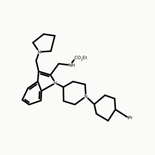 CCOC(=O)NCc1c(CN2CCCC2)c2ccccc2n1C1CCN(C2CCC(C(C)C)CC2)CC1